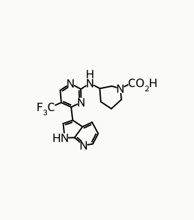 O=C(O)N1CCCC(Nc2ncc(C(F)(F)F)c(-c3c[nH]c4ncccc34)n2)C1